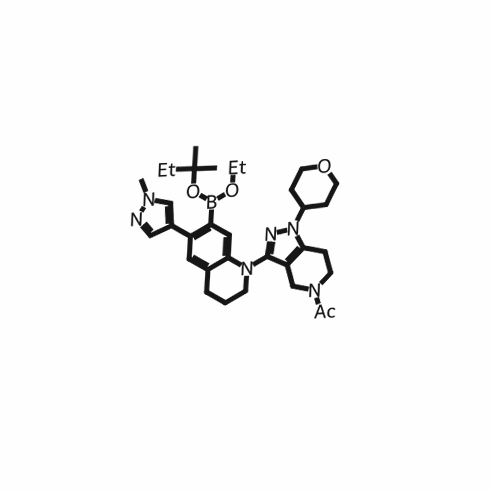 CCOB(OC(C)(C)CC)c1cc2c(cc1-c1cnn(C)c1)CCCN2c1nn(C2CCOCC2)c2c1CN(C(C)=O)CC2